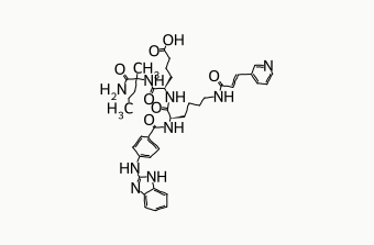 CCCC(C)(NC(=O)[C@@H](CCCC(=O)O)NC(=O)[C@@H](CCCCNC(=O)/C=C/c1cccnc1)NC(=O)c1ccc(Nc2nc3ccccc3[nH]2)cc1)C(N)=O